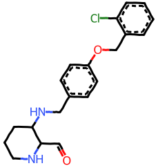 O=CC1NCCCC1NCc1ccc(OCc2ccccc2Cl)cc1